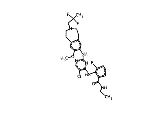 CCNC(=O)c1cccc(F)c1Nc1nc(Nc2cc3c(cc2OC)CCN(CC(C)(F)F)CC3)ncc1Cl